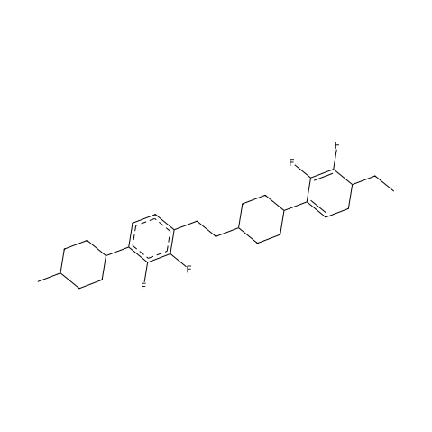 CCC1CC=C(C2CCC(CCc3ccc(C4CCC(C)CC4)c(F)c3F)CC2)C(F)=C1F